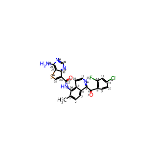 Cc1ccc2c(C(=O)c3ccc(Cl)cc3F)nccc2c1NC(=O)c1csc2c(N)ncnc12